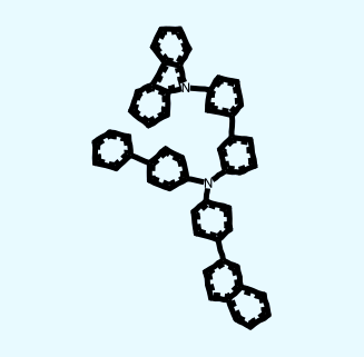 c1ccc(-c2ccc(N(c3ccc(-c4ccc5ccccc5c4)cc3)c3cccc(-c4cccc(-n5c6ccccc6c6ccccc65)c4)c3)cc2)cc1